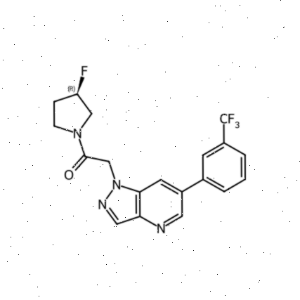 O=C(Cn1ncc2ncc(-c3cccc(C(F)(F)F)c3)cc21)N1CC[C@@H](F)C1